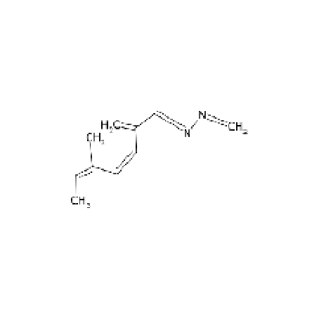 C=N/N=C/C(=C)/C=C\C(C)=C/C